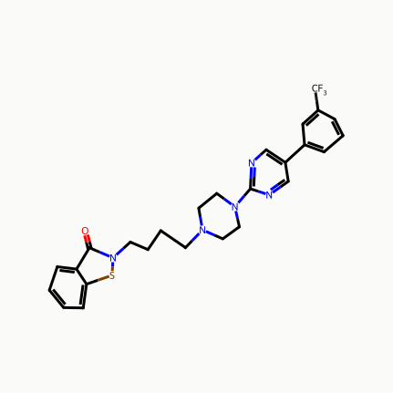 O=c1c2ccccc2sn1CCCCN1CCN(c2ncc(-c3cccc(C(F)(F)F)c3)cn2)CC1